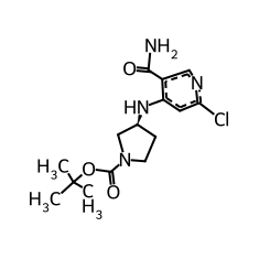 CC(C)(C)OC(=O)N1CC[C@H](Nc2cc(Cl)ncc2C(N)=O)C1